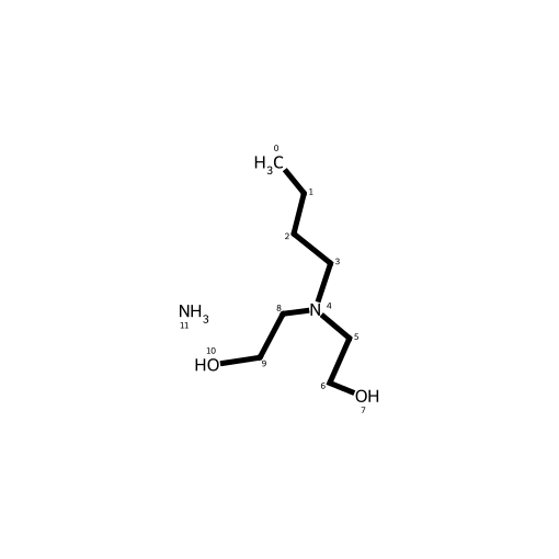 CCCCN(CCO)CCO.N